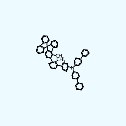 Cc1c(-c2ccc(N(c3ccc(-c4ccccc4)cc3)c3ccc(-c4ccccc4)cc3)cc2)cccc1-c1ccc2c(c1C)-c1ccccc1C21c2ccccc2-c2ccccc21